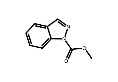 COC(=O)n1ncc2ccccc21